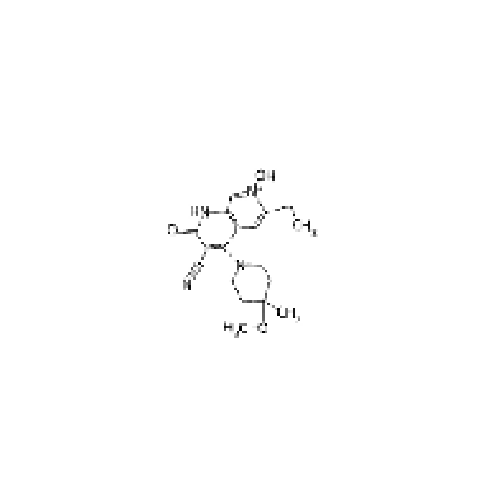 CCc1cc2c(N3CCC(C)(OC)CC3)c(C#N)c(=O)[nH]c2c[n+]1O